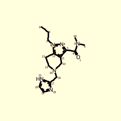 CCCn1nc(C(=O)N(C)C)c2c1CCN(Cc1ncc[nH]1)C2